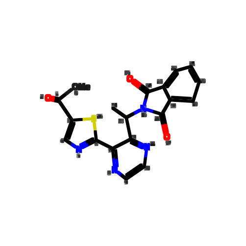 COC(=O)c1cnc(-c2nccnc2C(C)N2C(=O)c3ccccc3C2=O)s1